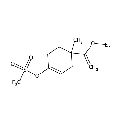 C=C(OCC)C1(C)CC=C(OS(=O)(=O)C(F)(F)F)CC1